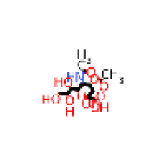 CC(=O)NC1C(OC(C)=O)CC(O)(C(=O)O)OC1C(O)C(O)CO